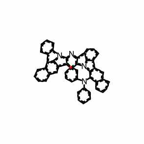 c1ccc(N(c2ccccc2)c2c3ccccc3cc3c4cccc5c6nc7c(cc6n(c23)c45)c2cc3ccccc3c3c4ccccc4n7c23)cc1